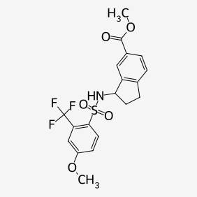 COC(=O)c1ccc2c(c1)C(NS(=O)(=O)c1ccc(OC)cc1C(F)(F)F)CC2